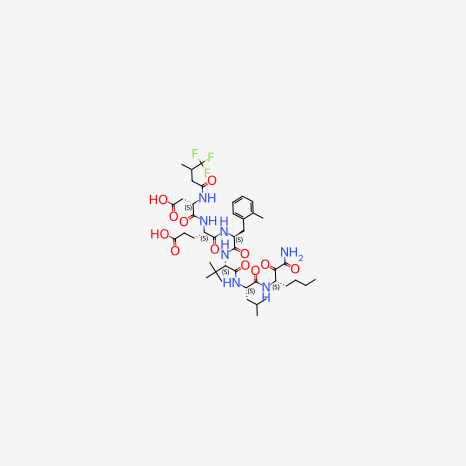 CCCC[C@H](NC(=O)[C@H](CC(C)C)NC(=O)[C@@H](NC(=O)[C@H](Cc1ccccc1C)NC(=O)[C@H](CCC(=O)O)NC(=O)[C@H](CC(=O)O)NC(=O)CC(C)C(F)(F)F)C(C)(C)C)C(=O)C(N)=O